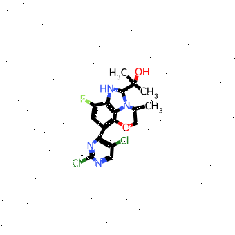 CC1COc2c(-c3nc(Cl)ncc3Cl)cc(F)c3c2N1C(C(C)(C)O)N3